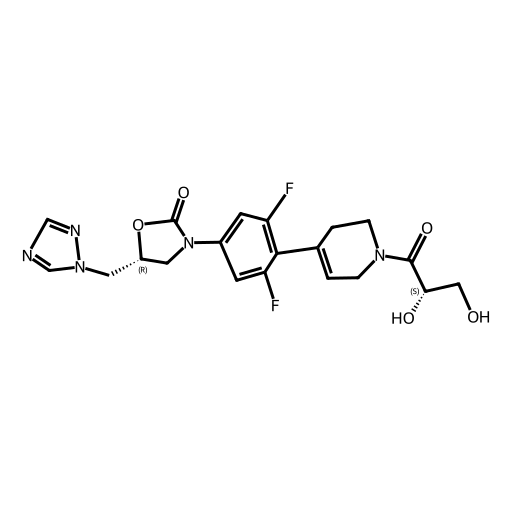 O=C([C@@H](O)CO)N1CC=C(c2c(F)cc(N3C[C@H](Cn4cncn4)OC3=O)cc2F)CC1